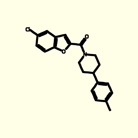 Cc1ccc(C2CCN(C(=O)c3cc4cc(Cl)ccc4o3)CC2)cc1